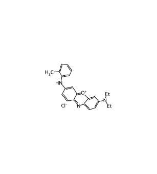 CCN(CC)c1ccc2nc3ccc(Nc4ccccc4C)cc3[o+]c2c1.[Cl-]